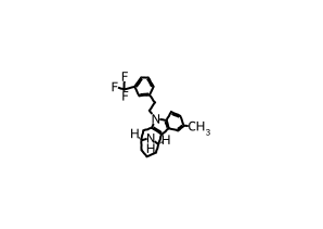 Cc1ccc2c(c1)c1c(n2CCc2cccc(C(F)(F)F)c2)C[C@@H]2CCC[C@H]1N2